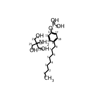 CCCCCCCCCc1ccc(OP(O)O)cc1.NC(CO)(CO)CO